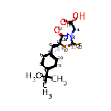 CC(C)(C)c1ccc(/C=C2\SC(=S)N(CC(=O)O)C2=O)cc1